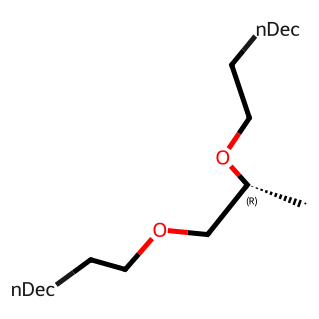 [CH2][C@H](COCCCCCCCCCCCC)OCCCCCCCCCCCC